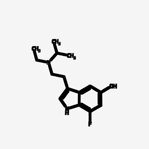 CCN(CCc1c[nH]c2c(F)cc(O)cc12)C(C)C